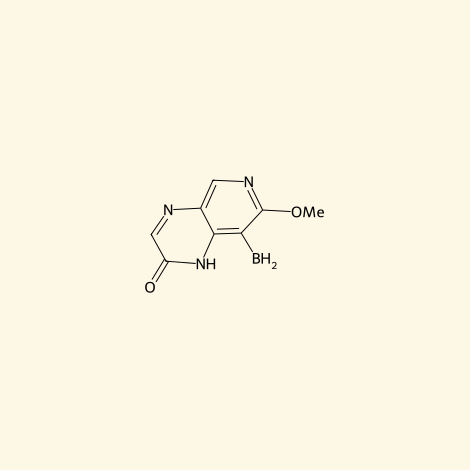 Bc1c(OC)ncc2ncc(=O)[nH]c12